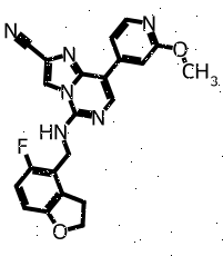 COc1cc(-c2cnc(NCc3c(F)ccc4c3CCO4)n3cc(C#N)nc23)ccn1